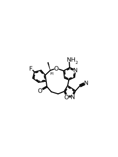 C[C@H]1Oc2cc(cnc2N)-c2c(C#N)noc2CCC(=O)c2ccc(F)cc21